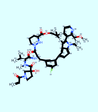 C=CC(=O)N1CCC(O)(C(=O)N(C)[C@H](C(=O)N[C@H]2Cc3cc(F)cc(c3)-c3ccc4c(c3)c(c(-c3cccnc3[C@H](C)OC)n4CC)CC(C)(C)COC(=O)[C@@H]3CCCN(N3)C2=O)C(C)C)C1